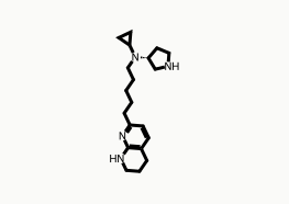 c1cc2c(nc1CCCCCN(C1CC1)[C@@H]1CCNC1)NCCC2